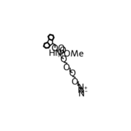 COC(=O)[C@H](COCCOCCOCCOCCN=[N+]=[N-])NC(=O)OCC1c2ccccc2-c2ccccc21